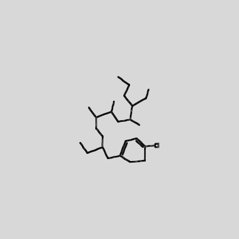 CCCC(CC)C(C)CC(C)C(C)CCC(CC)CC1=CC=C(Cl)CC1